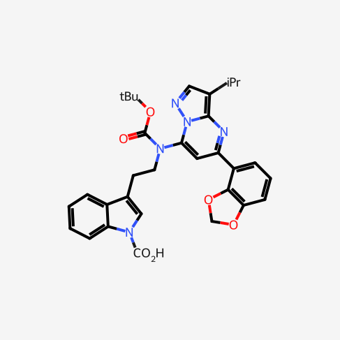 CC(C)c1cnn2c(N(CCc3cn(C(=O)O)c4ccccc34)C(=O)OC(C)(C)C)cc(-c3cccc4c3OCO4)nc12